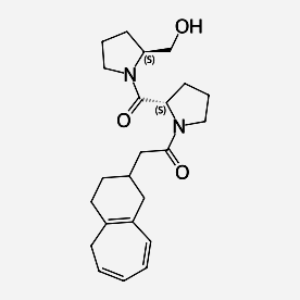 O=C([C@@H]1CCCN1C(=O)CC1CCC2=C(C=CC=CC2)C1)N1CCC[C@H]1CO